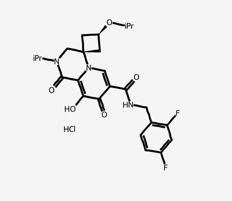 CC(C)O[C@H]1C[C@@]2(CN(C(C)C)C(=O)c3c(O)c(=O)c(C(=O)NCc4ccc(F)cc4F)cn32)C1.Cl